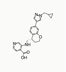 O=C(O)c1ccncc1NC[C@H]1CCOc2cc(-c3cnn(CC4CC4)c3)ccc21